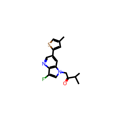 Cc1csc(-c2cnc3c(F)cn(CC(=O)C(C)C)c3c2)c1